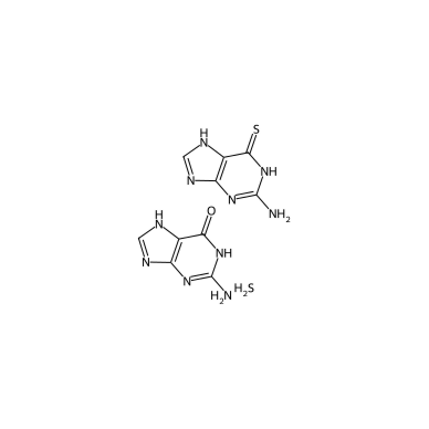 Nc1nc2nc[nH]c2c(=O)[nH]1.Nc1nc2nc[nH]c2c(=S)[nH]1.S